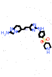 Nc1cn2cc(/C=C/c3cnc(Nc4ccc(S(=O)(=O)C5CCNCC5)cc4)nc3)ccc2n1